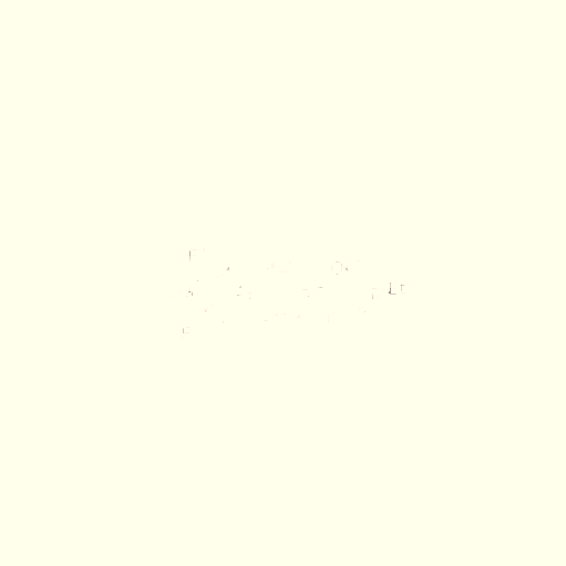 C=C1C(F)CC(C2CCC(C3CCC(CC)CO3)CC2)CC1F